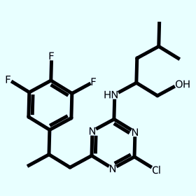 CC(C)CC(CO)Nc1nc(Cl)nc(CC(C)c2cc(F)c(F)c(F)c2)n1